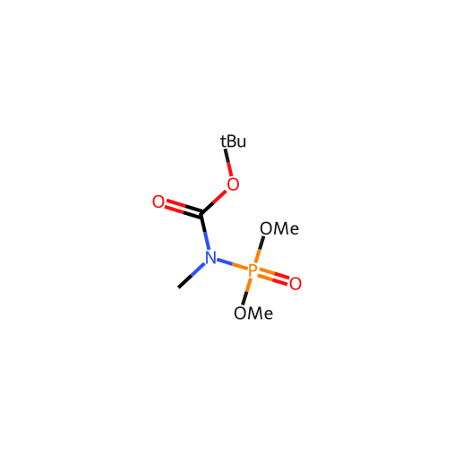 COP(=O)(OC)N(C)C(=O)OC(C)(C)C